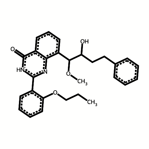 CCCOc1ccccc1-c1nc2c(C(OC)C(O)CCc3ccccc3)cccc2c(=O)[nH]1